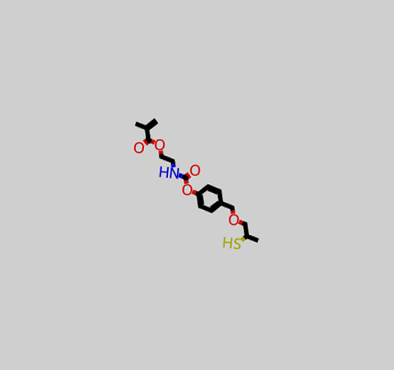 C=C(C)C(=O)OCCNC(=O)Oc1ccc(COCC(C)S)cc1